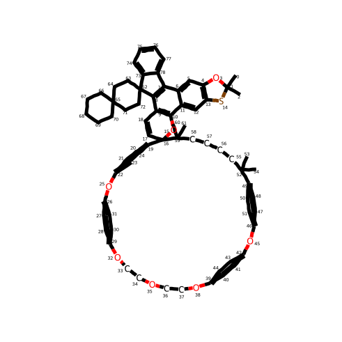 CC1(C)Oc2cc3c4c(c5c(c3cc2S1)OC1(C=C5)c2ccc(cc2)Oc2ccc(cc2)OCCOCCOc2ccc(cc2)Oc2ccc(cc2)C(C)(C)CCCCC1(C)C)C1(CCC2(CCCCC2)CC1)c1ccccc1-4